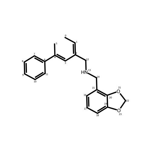 C/C=C(\C=C(/C)c1ccccc1)CNCc1cccc2c1OCO2